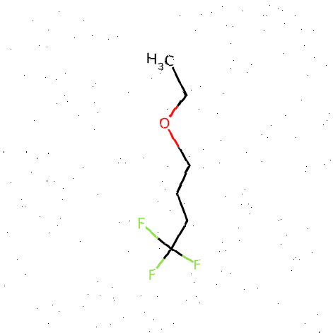 CCOCCCC(F)(F)F